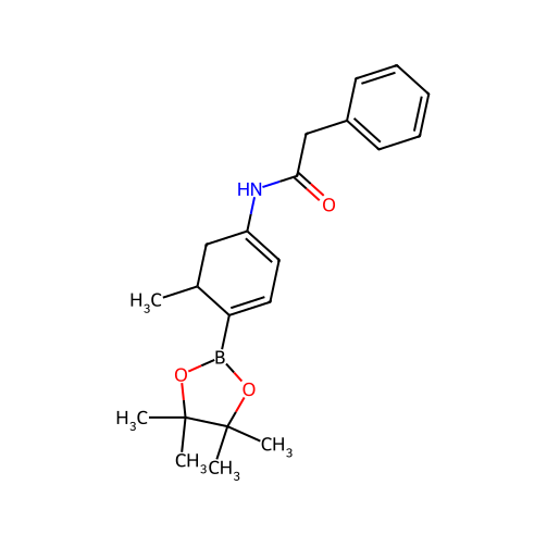 CC1CC(NC(=O)Cc2ccccc2)=CC=C1B1OC(C)(C)C(C)(C)O1